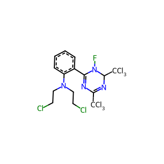 FN1C(c2ccccc2N(CCCl)CCCl)=NC(C(Cl)(Cl)Cl)=NC1C(Cl)(Cl)Cl